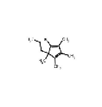 CCCC1(C)C(C)=C(C)C(C)=[C]1[K]